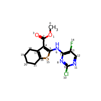 COC(=O)c1c(Nc2nc(Cl)ncc2F)sc2c1CCCC2